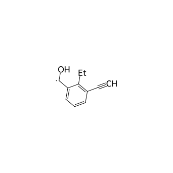 C#Cc1cccc([CH]O)c1CC